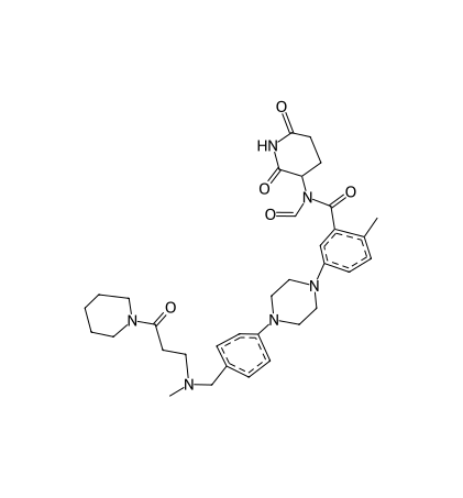 Cc1ccc(N2CCN(c3ccc(CN(C)CCC(=O)N4CCCCC4)cc3)CC2)cc1C(=O)N(C=O)C1CCC(=O)NC1=O